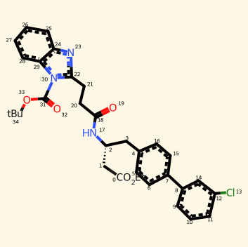 CCOC(=O)C[C@@H](Cc1ccc(-c2cccc(Cl)c2)cc1)NC(=O)CCc1nc2ccccc2n1C(=O)OC(C)(C)C